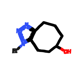 CCn1nnc2c1CCC(O)CCC2